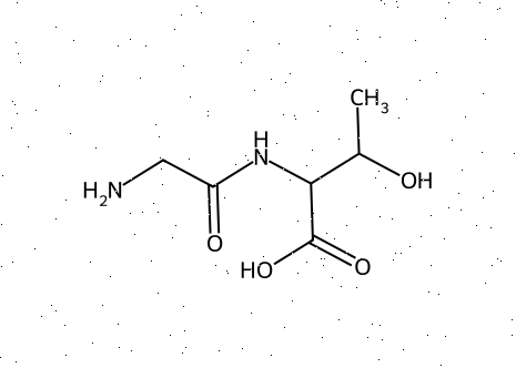 CC(O)C(NC(=O)CN)C(=O)O